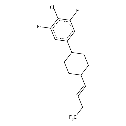 Fc1cc(C2CCC(/C=C/CC(F)(F)F)CC2)cc(F)c1Cl